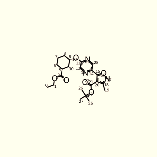 CCOC(=O)[C@H]1CCC[C@H](Oc2cnc(-c3onc(C)c3C(=O)OC(C)(C)C)cn2)C1